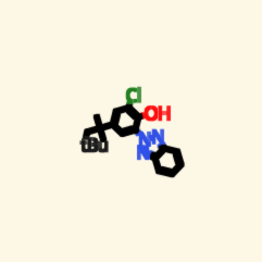 CC(C)(C)CC(C)(C)c1cc(Cl)c(O)c(-n2nc3ccccc3n2)c1